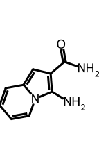 NC(=O)c1cc2ccccn2c1N